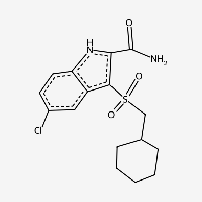 NC(=O)c1[nH]c2ccc(Cl)cc2c1S(=O)(=O)CC1CCCCC1